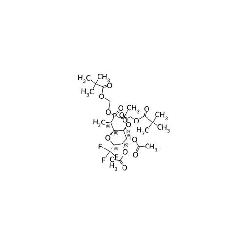 CC(=O)O[C@H]1[C@H](OC(C)=O)[C@H](OC(C)=O)[C@H](C(F)(F)F)O[C@H]1[C@@H](C)P(=O)(OCOC(=O)C(C)(C)C)OCOC(=O)C(C)(C)C